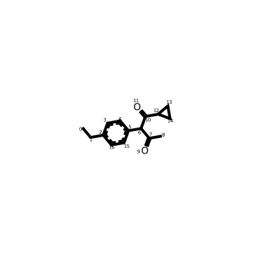 CCc1ccc(C(C(C)=O)C(=O)C2CC2)cc1